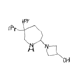 CCCC1(C(C)C)CCC(N2CC(O)C2)NC1